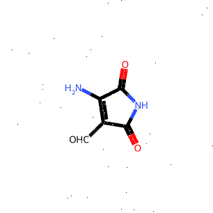 NC1=C(C=O)C(=O)NC1=O